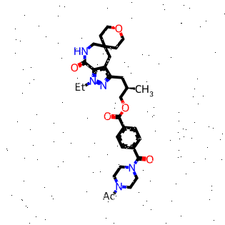 CCn1nc(C[C@@H](C)COC(=O)c2ccc(C(=O)N3CCN(C(C)=O)CC3)cc2)c2c1C(=O)NCC1(CCOCC1)C2